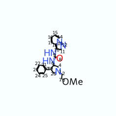 COCCN1C[C@@H](NC(=O)Nc2cnn3ccccc23)[C@H](c2ccccc2)C1